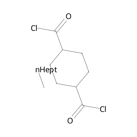 CCCCCCCC.O=C(Cl)C1CCC(C(=O)Cl)CC1